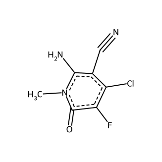 Cn1c(N)c(C#N)c(Cl)c(F)c1=O